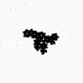 CC(C)(C)c1ccc(N2B3c4cc(C(C)(C)C)ccc4-n4c5cc6c(cc5c5ccc(c3c54)-c3cc4c(cc32)C(C)(C)c2ccccc2-4)sc2ccccc26)cc1